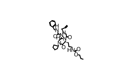 C#CCN1CC(=O)N2[C@@H](CCCNC(=O)OCCC)C(=O)N(C3CCCC3)C[C@@H]2N1C(=O)NCc1ccccc1